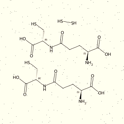 N[C@@H](CCC(=O)N[C@@H](CS)C(=O)O)C(=O)O.N[C@@H](CCC(=O)N[C@@H](CS)C(=O)O)C(=O)O.SS